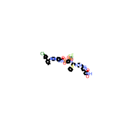 CC1(C)CCC(c2ccc(Cl)cc2)=C(CN2CCN(c3ccc(C(=O)NS(=O)(=O)c4ccc(N[C@H](CCN5CCN(Cc6ccc(C7CCC(=O)NC7=O)nn6)CC5)CSc5ccccc5)c(S(=O)(=O)C(F)(F)F)c4)cc3)CC2)C1